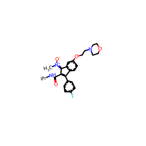 CC(C)NC(=O)C1=C(c2ccc(F)cc2)c2ccc(OCCN3CCOCC3)cc2/C1=[N+](/C)[O-]